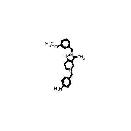 C=C1C2=C(CCN(Cc3ccc(N)cc3)C2)NN1Cc1cccc(OC)c1